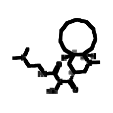 CCCCN(C(=O)NCCN(C)C)C(=O)[C@@H]1C[C@@H]2CCCCCCCCC[C@H]2N(C)C1